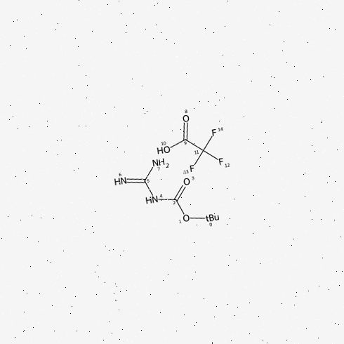 CC(C)(C)OC(=O)NC(=N)N.O=C(O)C(F)(F)F